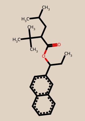 CCC(OC(=O)C(CC(C)C)C(C)(C)C)c1ccc2ccccc2c1